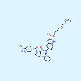 COCCOCCCOC(=O)c1cc2cc(NC(=O)[C@@H]3[C@H](C4CCCCC4)CCN3C(=O)[C@H]3CC[C@H]([C@H](N)CF)CC3)ccc2n1C